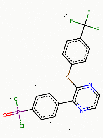 O=P(Cl)(Cl)c1ccc(-c2nccnc2Sc2ccc(C(F)(F)F)cc2)cc1